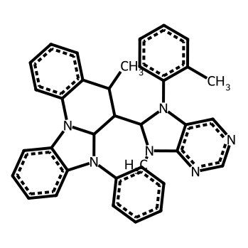 Cc1ccccc1N1c2cncnc2N(C)C1C1C(C)c2ccccc2N2c3ccccc3N(c3ccccc3)C12